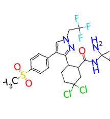 CS(=O)(=O)c1ccc(-c2cn(CC(F)(F)F)nc2C2CCC(Cl)(Cl)CC2C(=O)NC2(N)CC2)cc1